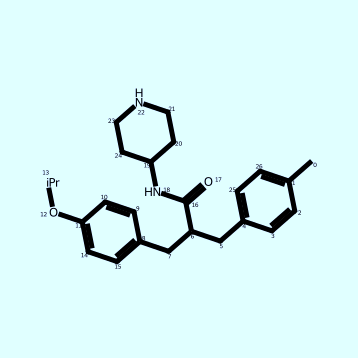 Cc1ccc(CC(Cc2ccc(OC(C)C)cc2)C(=O)NC2CCNCC2)cc1